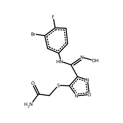 NC(=O)CSc1nonc1/C(=N\O)Nc1ccc(F)c(Br)c1